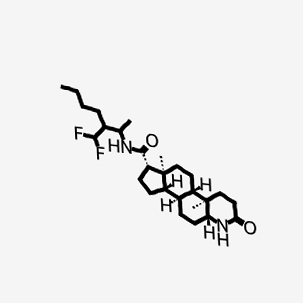 CCCCC(C(F)F)C(C)NC(=O)[C@H]1CC[C@H]2[C@@H]3CC[C@H]4NC(=O)CC[C@]4(C)[C@H]3CC[C@]12C